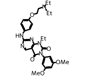 CCN(CC)CCOc1ccc(Nc2ncc3c(=O)n(-c4cc(OC)cc(OC)c4)c(=O)n(CC)c3n2)cc1